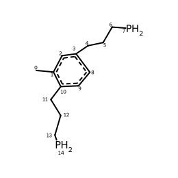 Cc1cc(CCCP)ccc1CCCP